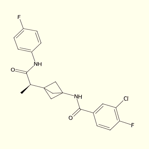 C[C@@H](C(=O)Nc1ccc(F)cc1)C12CC(NC(=O)c3ccc(F)c(Cl)c3)(C1)C2